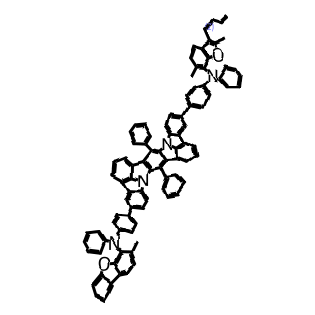 C=C/C=C\c1c(C)oc2c(N(c3ccccc3)c3ccc(-c4ccc5c(c4)c4cccc6c7c(-c8ccccc8)c8c(c(-c9ccccc9)c7n5c46)c4cccc5c6cc(-c7ccc(N(c9ccccc9)c9c(C)ccc%10c9oc9ccccc9%10)cc7)ccc6n8c54)cc3)c(C)ccc12